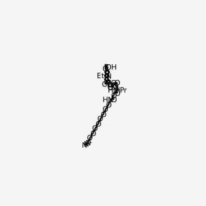 CCc1c2c(nc3ccc(OB(C)O)cc13)-c1cc3c(c(=O)n1C2)COC(=O)C3OC(=O)OCC(NC(=O)COCC(=O)NCCOCCOCCOCCOCCOCCOCCOCCOCCN=[N+]=[N-])C(C)C